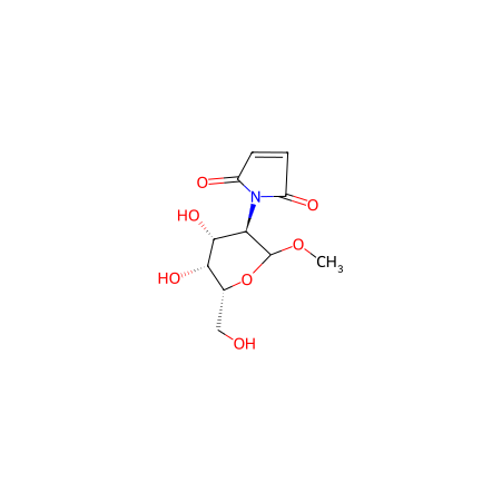 COC1O[C@H](CO)[C@H](O)[C@H](O)[C@H]1N1C(=O)C=CC1=O